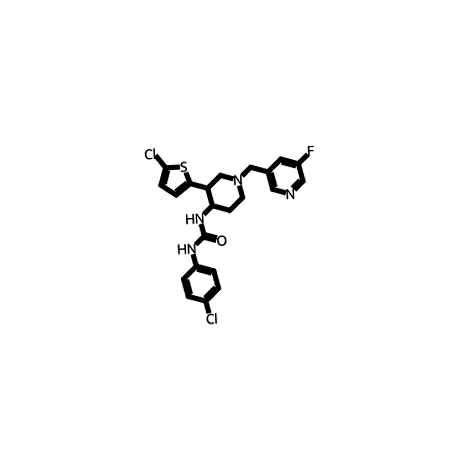 O=C(Nc1ccc(Cl)cc1)NC1CCN(Cc2cncc(F)c2)CC1c1ccc(Cl)s1